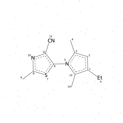 CCc1cc(C)n(-c2sc(C)nc2C#N)c1C